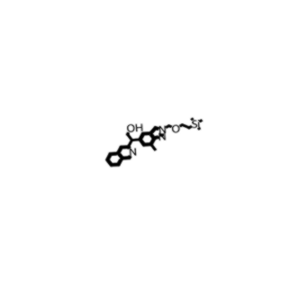 Cc1cc(C(CO)c2cc3ccccc3cn2)cc2cn(COCC[Si](C)(C)C)nc12